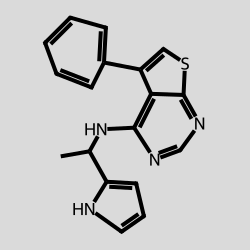 CC(Nc1ncnc2scc(-c3ccccc3)c12)c1ccc[nH]1